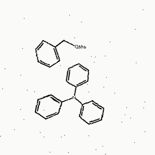 COCc1ccccc1.c1ccc(N(c2ccccc2)c2ccccc2)cc1